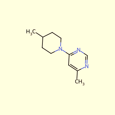 Cc1cc(N2CCC(C)CC2)ncn1